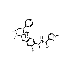 CC(NC(=O)c1ccn(C)n1)c1cc(F)c(CC2[C@H](C)NC[C@@H](c3ccccc3)S2(=O)=O)cc1F